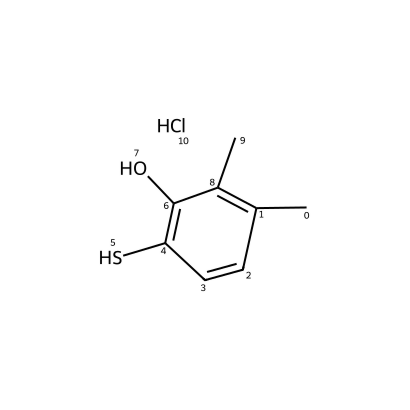 Cc1ccc(S)c(O)c1C.Cl